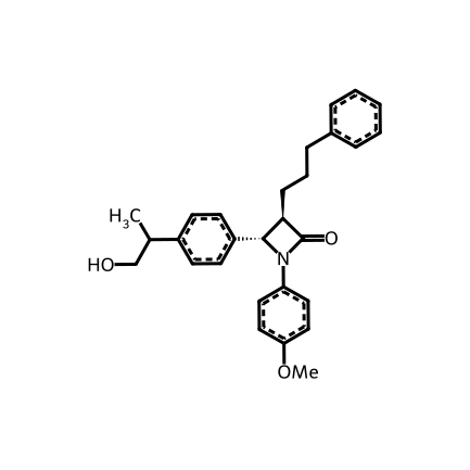 COc1ccc(N2C(=O)[C@H](CCCc3ccccc3)[C@H]2c2ccc(C(C)CO)cc2)cc1